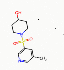 Cc1cncc(S(=O)(=O)N2CCC(O)CC2)c1